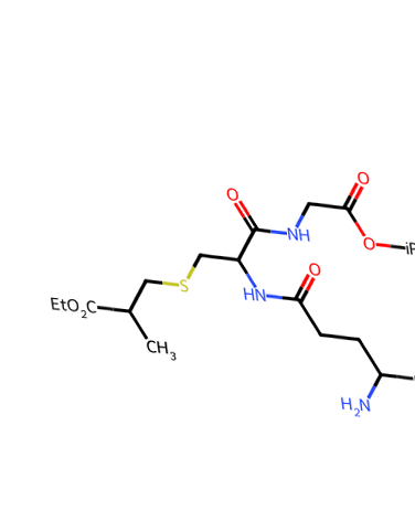 CCOC(=O)C(C)CSCC(NC(=O)CCC(N)C(=O)O)C(=O)NCC(=O)OC(C)C